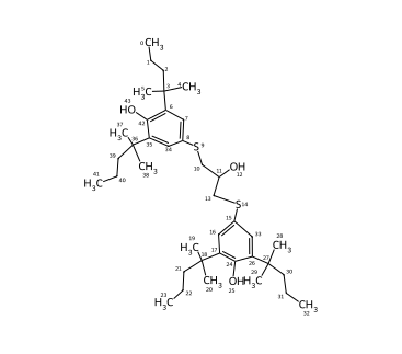 CCCC(C)(C)c1cc(SCC(O)CSc2cc(C(C)(C)CCC)c(O)c(C(C)(C)CCC)c2)cc(C(C)(C)CCC)c1O